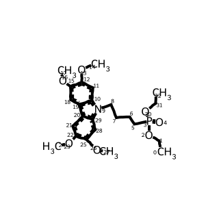 CCOP(=O)(CCCCn1c2cc(OC)c(OC)cc2c2cc(OC)c(OC)cc21)OCC